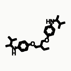 CCC(COc1ccc(NC(C)C(C)C)cc1)COc1ccc(NC(C)C(C)C)cc1